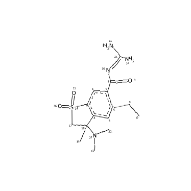 CCc1cc2c(cc1C(=O)N=C(N)N)S(=O)(=O)CC2(C)N(C)C